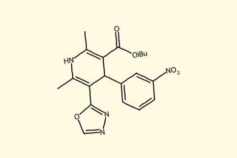 CC1=C(C(=O)OCC(C)C)C(c2cccc([N+](=O)[O-])c2)C(c2nnco2)=C(C)N1